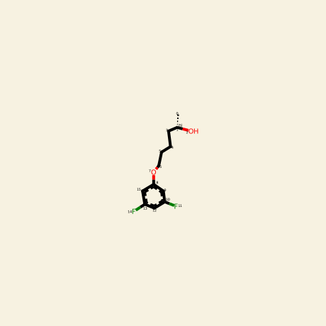 C[C@H](O)CCCCOc1cc(F)cc(F)c1